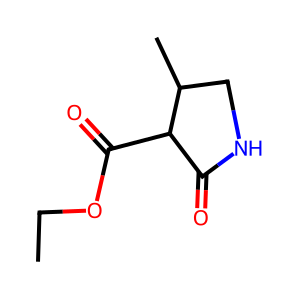 CCOC(=O)C1C(=O)NCC1C